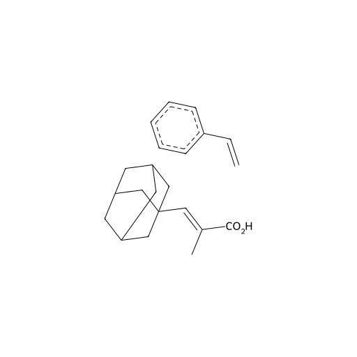 C=Cc1ccccc1.CC(=CC12CC3CC(CC(C3)C1)C2)C(=O)O